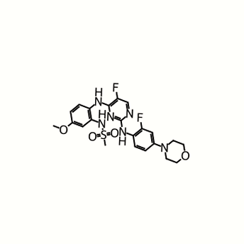 COc1ccc(Nc2nc(Nc3ccc(N4CCOCC4)cc3F)ncc2F)c(NS(C)(=O)=O)c1